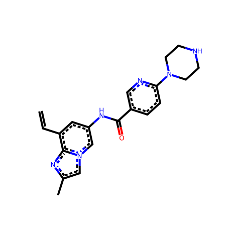 C=Cc1cc(NC(=O)c2ccc(N3CCNCC3)nc2)cn2cc(C)nc12